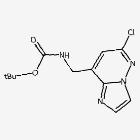 CC(C)(C)OC(=O)NCc1cc(Cl)nn2ccnc12